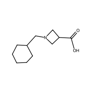 O=C(O)C1CN(CC2CCCCC2)C1